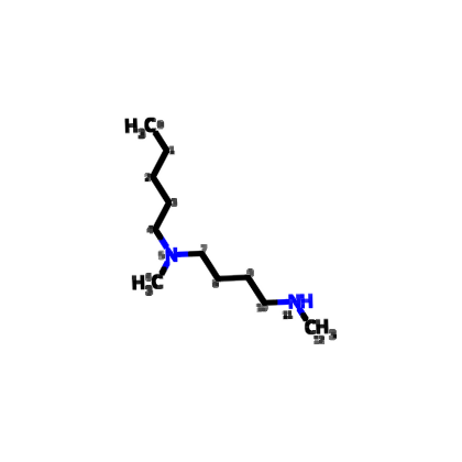 CCCCCN(C)CCCCNC